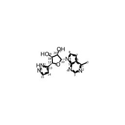 Cc1ncnc2c1ccn2[C@@H]1O[C@@H](c2ccn[nH]2)[C@@H](O)[C@H]1O